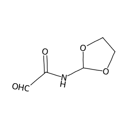 O=CC(=O)NC1OCCO1